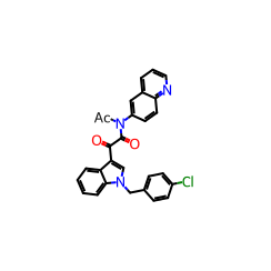 CC(=O)N(C(=O)C(=O)c1cn(Cc2ccc(Cl)cc2)c2ccccc12)c1ccc2ncccc2c1